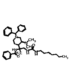 CCCCCCCNC(=O)NCC(C)(NC(=O)c1ccccc1)C1CCN(C(c2ccccc2)c2ccccc2)CC1N(C)C